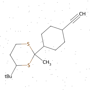 C#CC1CCC(C2(C)SCCC(C(C)(C)C)S2)CC1